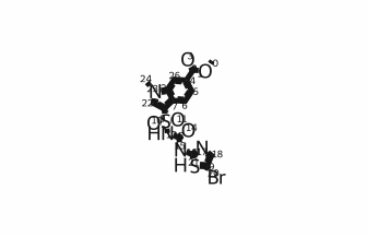 COC(=O)c1ccc2c(S(=O)(=O)NC(=O)Nc3ncc(Br)s3)cn(C)c2c1